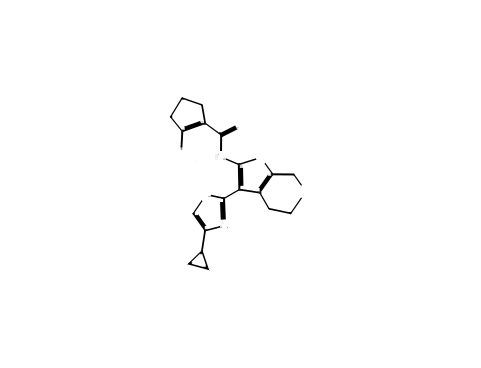 O=C(O)C1=C(C(=O)Nc2sc3c(c2-c2nc(C4CC4)cs2)CCOC3)CCC1